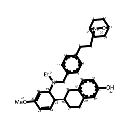 CCN(Cc1ccc(CCN2CC3CCC2CC3)cc1)C1C=C(OC)C=CC1[C@@H]1CCc2cc(O)ccc2C1